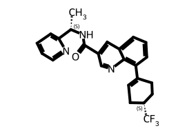 C[C@H](NC(=O)c1cnc2c(C3=CC[C@@H](C(F)(F)F)CC3)cccc2c1)c1ccccn1